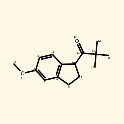 COc1ccc2c(c1)CCC2C(=O)C(C)(C)C